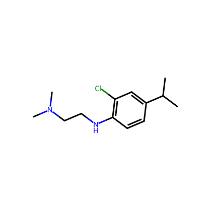 CC(C)c1ccc(NCCN(C)C)c(Cl)c1